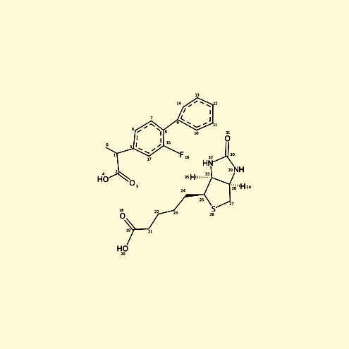 CC(C(=O)O)c1ccc(-c2ccccc2)c(F)c1.O=C(O)CCCC[C@@H]1SC[C@@H]2NC(=O)N[C@@H]21